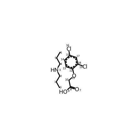 CCCNCCC.O=C(O)COc1ccc(Cl)cc1Cl